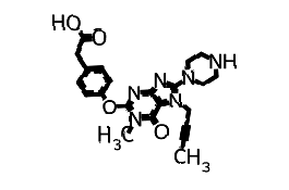 CC#CCn1c(N2CCNCC2)nc2nc(Oc3ccc(CC(=O)O)cc3)n(C)c(=O)c21